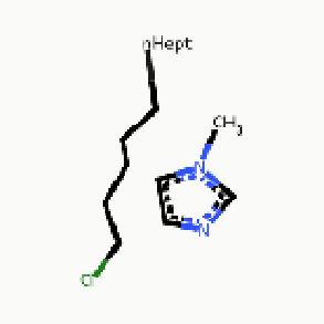 CCCCCCCCCCCCCl.Cn1ccnc1